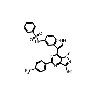 CCCc1nn(C)c2c(-c3c[nH]c4ccc(NS(=O)(=O)c5ccccc5)cc34)nc(-c3ccc(C(F)(F)F)cc3)nc12